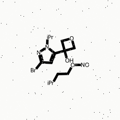 CC(C)CCON=O.CC(C)n1nc(Br)cc1C1(O)COC1